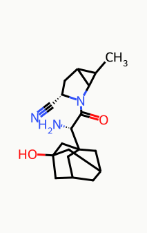 CC1C2C[C@@H](C#N)N(C(=O)[C@@H](N)C34CC5CC(CC(O)(C5)C3)C4)C12